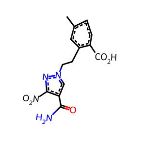 Cc1ccc(C(=O)O)c(CCn2cc(C(N)=O)c([N+](=O)[O-])n2)c1